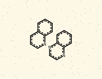 c1ccc2ncccc2c1.c1ccc2nccnc2c1